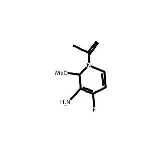 C=C(C)N1C=CC(F)=C(N)C1OC